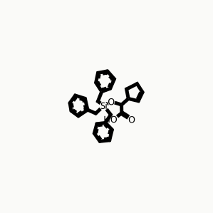 O=C(O)C(O[Si](Cc1ccccc1)(Cc1ccccc1)Cc1ccccc1)C1C=CCC1